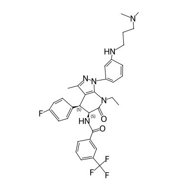 CCN1C(=O)[C@@H](NC(=O)c2cccc(C(F)(F)F)c2)[C@@H](c2ccc(F)cc2)c2c(C)nn(-c3cccc(NCCCN(C)C)c3)c21